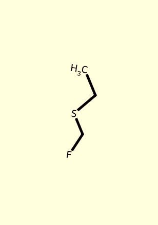 CCSCF